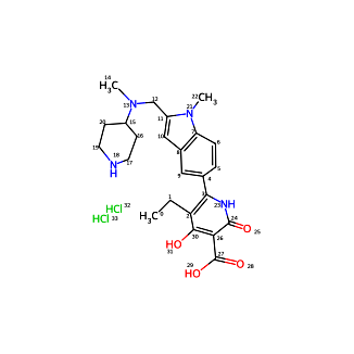 CCc1c(-c2ccc3c(c2)cc(CN(C)C2CCNCC2)n3C)[nH]c(=O)c(C(=O)O)c1O.Cl.Cl